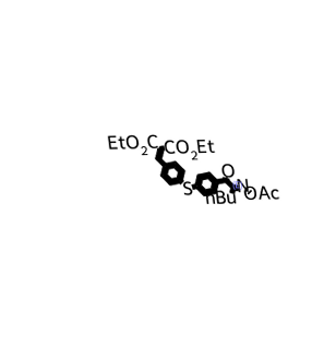 CCCC/C(=N\OC(C)=O)C(=O)c1ccc(Sc2ccc(C=C(C(=O)OCC)C(=O)OCC)cc2)cc1